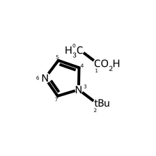 CC(=O)O.CC(C)(C)n1ccnc1